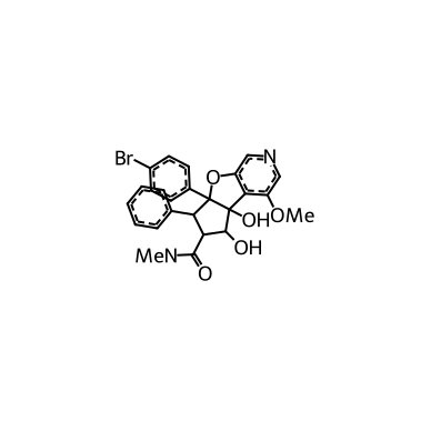 CNC(=O)C1C(O)C2(O)c3c(OC)cncc3OC2(c2ccc(Br)cc2)C1c1ccccc1